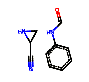 N#CC1CN1.O=CNc1ccccc1